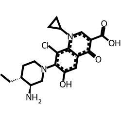 CC[C@@H]1CCN(c2c(O)cc3c(=O)c(C(=O)O)cn(C4CC4)c3c2Cl)C[C@H]1N